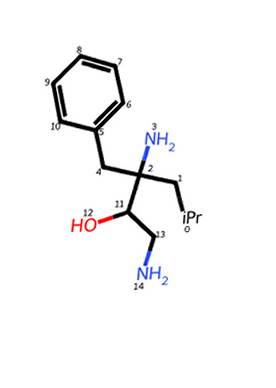 CC(C)CC(N)(Cc1ccccc1)C(O)CN